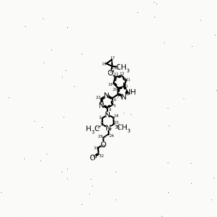 C[C@@H]1CN(c2cc(-c3n[nH]c4ccc(OC5(C)CC5)cc34)ncn2)C[C@H](C)N1CCOCC=O